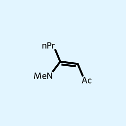 CCCC(=CC(C)=O)NC